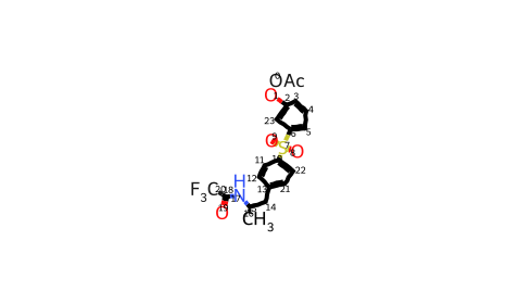 CC(=O)OOc1cccc(S(=O)(=O)c2ccc(C[C@@H](C)NC(=O)C(F)(F)F)cc2)c1